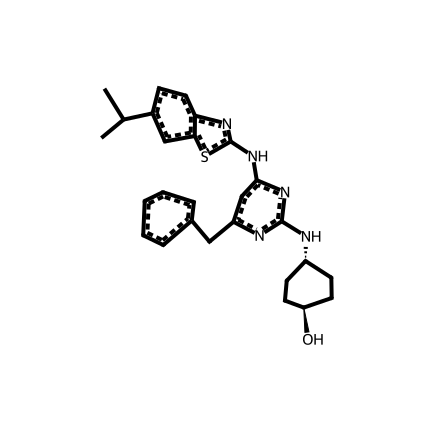 CC(C)c1ccc2nc(Nc3cc(Cc4ccccc4)nc(N[C@H]4CC[C@H](O)CC4)n3)sc2c1